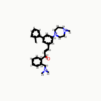 Cc1ccccc1-c1cc(C=CC(=O)c2ccccc2CN(C)C)cc(N2CCCN(C)CC2)c1